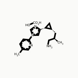 Cc1ccc(-n2cnc([C@@H]3C[C@@H]3C[C@@H](C)CN)c2)nc1.O=C(O)O